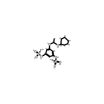 CC(Oc1cc(OS(=O)(=O)F)cc(OS(=O)(=O)F)c1)OC1CCCCC1